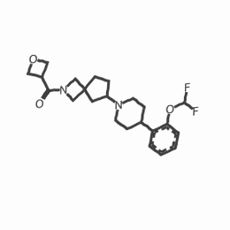 O=C(C1COC1)N1CC2(CCC(N3CCC(c4ccccc4OC(F)F)CC3)C2)C1